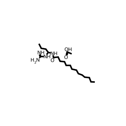 CC(=O)O.CCCCCCCCCCCCCC(=O)NC(CCC)NC(=N)N